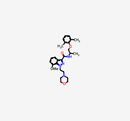 COc1cccc2c(C(=O)NC(C)COc3c(C)cccc3C)nn(CCN3CCOCC3)c12